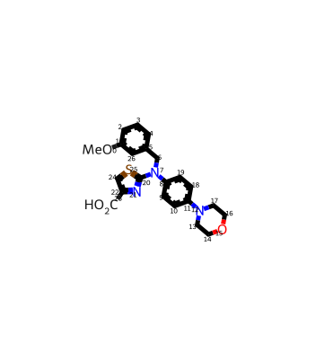 COc1cccc(CN(c2ccc(N3CCOCC3)cc2)c2nc(C(=O)O)cs2)c1